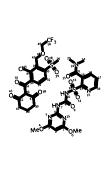 COc1cc(OC)nc(NC(=O)NS(=O)(=O)c2ncccc2C(=O)N(C)C)n1.CS(=O)(=O)c1ccc(C(=O)C2C(=O)CCCC2=O)c(Cl)c1COCC(F)(F)F